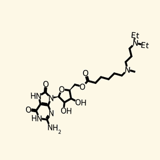 CCN(CC)CCCN(C)CCCCCC(=O)OC[C@@H]1O[C@H](n2c(=O)[nH]c3c(=O)[nH]c(N)nc32)C(O)C1O